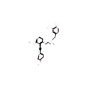 COc1ccc(C#Cc2c(CCCN(C)CCc3ccc(OC)c(OC)c3)cccc2OC)cc1